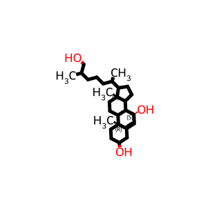 CC(CO)CCCC(C)C1CCC2C3C(CC[C@]12C)[C@@]1(C)CCC(O)CC1=C[C@H]3O